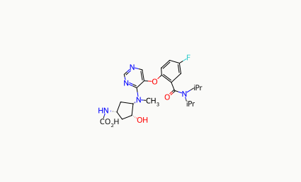 CC(C)N(C(=O)c1cc(F)ccc1Oc1cncnc1N(C)[C@H]1C[C@@H](NC(=O)O)C[C@H]1O)C(C)C